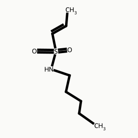 CC=CS(=O)(=O)NCCCCC